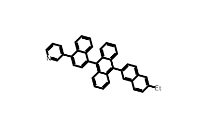 CCc1ccc2cc(-c3c4ccccc4c(-c4ccc(-c5cccnc5)c5ccccc45)c4ccccc34)ccc2c1